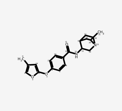 Cc1coc(Oc2ccc(C(=O)NC3CN4CCC3CC4C)cc2)c1